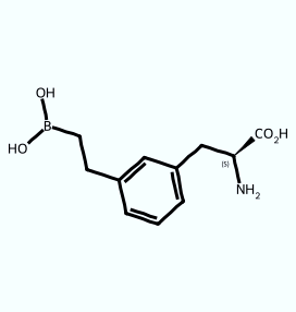 N[C@@H](Cc1cccc(CCB(O)O)c1)C(=O)O